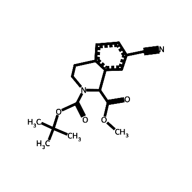 COC(=O)C1c2cc(C#N)ccc2CCN1C(=O)OC(C)(C)C